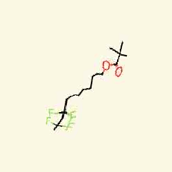 CC(C)(C)C(=O)OCCCCCCC(F)(F)C(C)(F)F